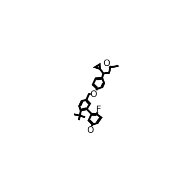 COc1ccc(F)c(-c2cc(COc3ccc(C(CC(C)=O)C4CC4)cc3)ccc2C(C)(C)C)c1